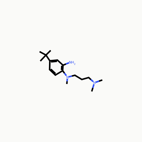 CN(C)CCCN(C)c1ccc(C(C)(C)C)cc1N